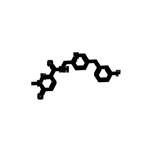 Cn1nc(C(=O)NCc2ccc(Cc3cccc(F)c3)cn2)ccc1=O